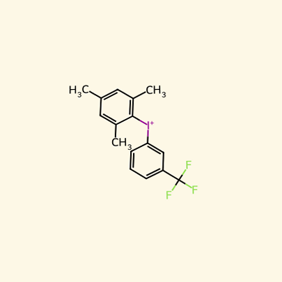 Cc1cc(C)c([I+]c2cccc(C(F)(F)F)c2)c(C)c1